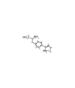 NC(Cc1ccc(C2=NCCN2)cc1)C(=O)O